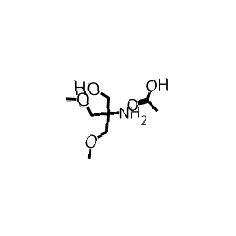 CC(=O)O.COCC(N)(CO)COC